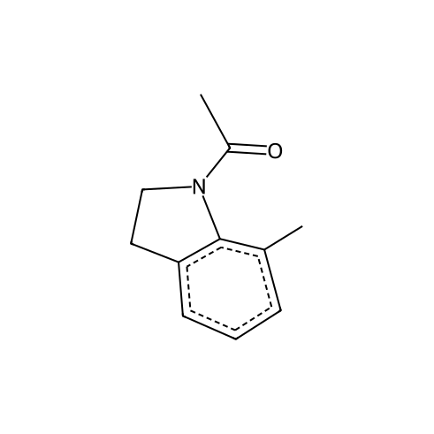 CC(=O)N1CCc2cccc(C)c21